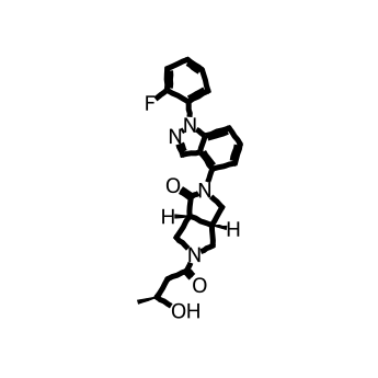 C[C@H](O)CC(=O)N1C[C@H]2CN(c3cccc4c3cnn4-c3ccccc3F)C(=O)[C@H]2C1